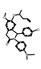 C=CCC(C)Oc1cc2c(cc1OC)CC(=O)N(c1ccc(N(C)C)cc1)C2c1ccc(Cl)cc1